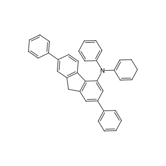 C1=CC(N(c2ccccc2)c2cc(-c3ccccc3)cc3c2-c2ccc(-c4ccccc4)cc2C3)=CCC1